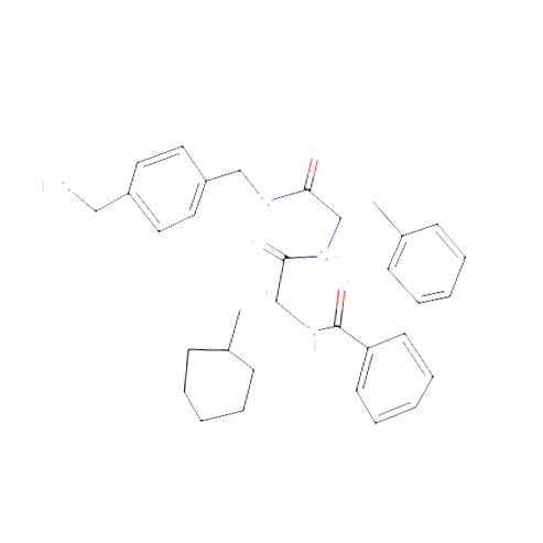 NCc1ccc(CNC(=O)[C@H](Cc2ccccc2)NC(=O)[C@@H](CC2CCCCC2)NC(=O)c2ccccc2)cc1